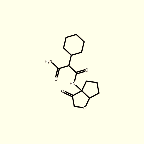 NC(=O)C(C(=O)NC12CCCC1OCC2=O)C1CCCCC1